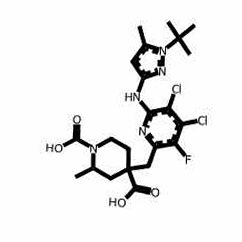 Cc1cc(Nc2nc(CC3(C(=O)O)CCN(C(=O)O)C(C)C3)c(F)c(Cl)c2Cl)nn1C(C)(C)C